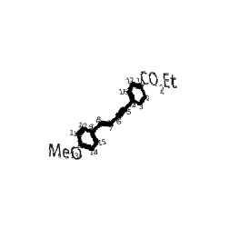 CCOC(=O)c1ccc(C#CC=Cc2ccc(OC)cc2)cc1